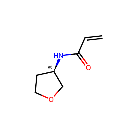 C=CC(=O)N[C@@H]1CCOC1